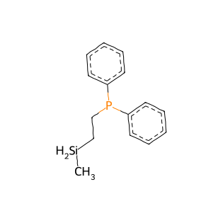 C[SiH2]CCP(c1ccccc1)c1ccccc1